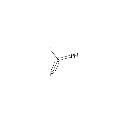 P#S(=P)I